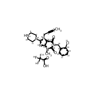 CC#CCn1c(N2CCNCC2)nc2c1c(=O)n(Cc1ccccc1Cl)c(=O)n2C.O=C(O)C(F)(F)F